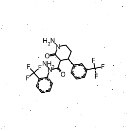 NN1CCC(c2cccc(C(F)(F)F)c2)C(C(=O)N(N)c2ccccc2C(F)(F)F)C1=O